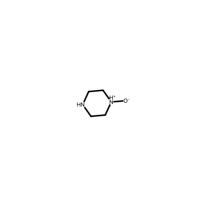 [O-][NH+]1CCNCC1